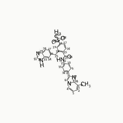 Cc1cccn2cc(-c3ccc(NC(=O)c4ccc(S(C)(=O)=O)cc4Cc4ccc5nc[nH]c5c4)cc3)nc12